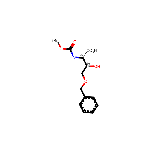 CC(C)(C)OC(=O)N[C@H](C(=O)O)[C@@H](O)COCc1ccccc1